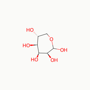 OC1OC[C@@H](O)[C@H](O)[C@H](O)[C@@H]1O